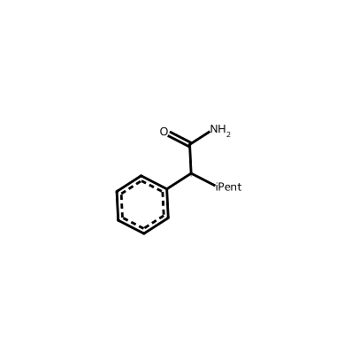 CCCC(C)[C](C(N)=O)c1ccccc1